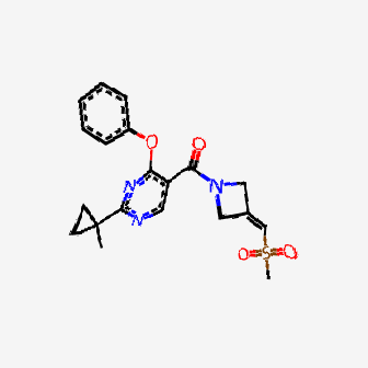 CC1(c2ncc(C(=O)N3CC(=CS(C)(=O)=O)C3)c(Oc3ccccc3)n2)CC1